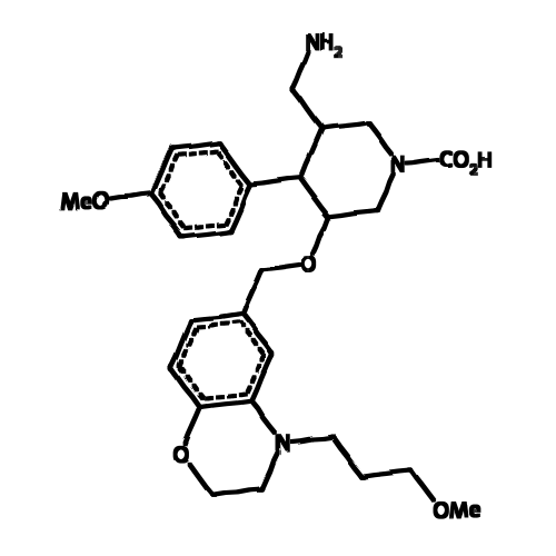 COCCCN1CCOc2ccc(COC3CN(C(=O)O)CC(CN)C3c3ccc(OC)cc3)cc21